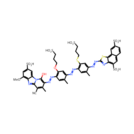 COc1cc(S(=O)(=O)O)cc2c1nc1c(C#N)c(C)c(N=Nc3cc(C)c(N=Nc4cc(C)c(N=Nc5nc6c(S(=O)(=O)O)cc7ccc(S(=O)(=O)O)cc7c6s5)cc4SCCCS(=O)(=O)O)cc3OCCCS(=O)(=O)O)c(O)n12